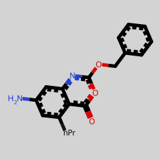 CCCc1cc(N)cc2nc(OCc3ccccc3)oc(=O)c12